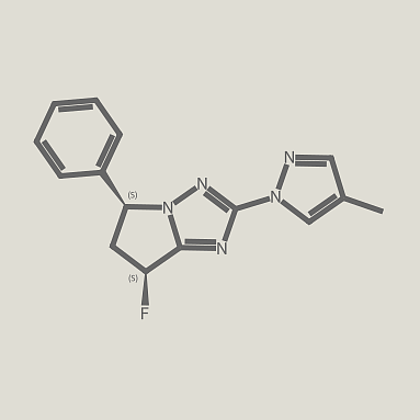 Cc1cnn(-c2nc3n(n2)[C@H](c2ccccc2)C[C@@H]3F)c1